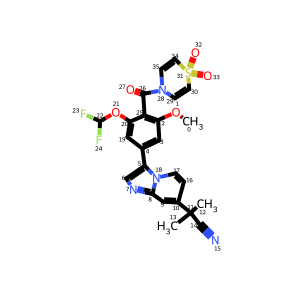 COc1cc(-c2cnc3cc(C(C)(C)C#N)ccn23)cc(OC(F)F)c1C(=O)N1C=CS(=O)(=O)C=C1